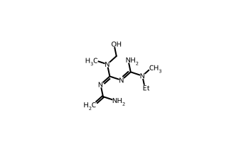 C=C(N)/N=C(\N=C(/N)N(C)CC)N(C)CO